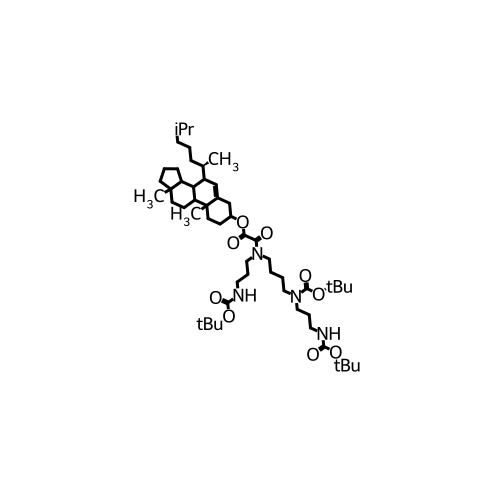 CC(C)CCC[C@@H](C)C1C=C2CC(OC(=O)C(=O)N(CCCCN(CCCNC(=O)OC(C)(C)C)C(=O)OC(C)(C)C)CCCNC(=O)OC(C)(C)C)CCC2(C)C2CCC3(C)CCCC3C12